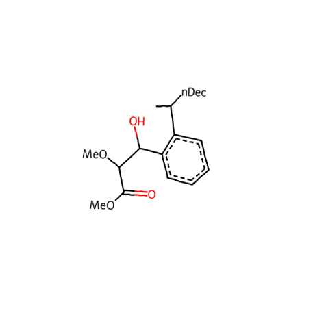 CCCCCCCCCCC(C)c1ccccc1C(O)C(OC)C(=O)OC